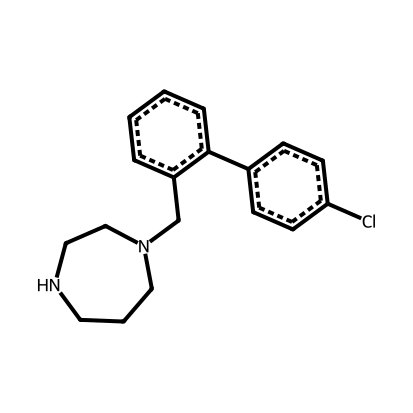 Clc1ccc(-c2ccccc2CN2CCCNCC2)cc1